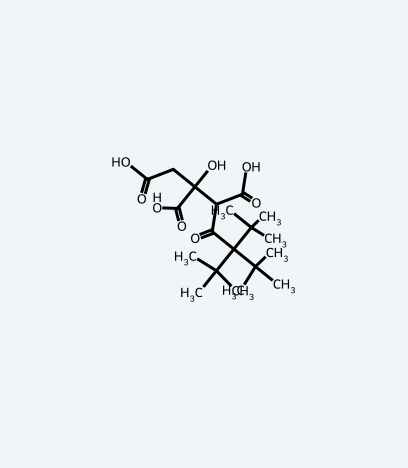 CC(C)(C)C(C(=O)C(C(=O)O)C(O)(CC(=O)O)C(=O)O)(C(C)(C)C)C(C)(C)C